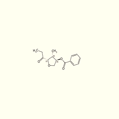 CCC(=O)[C@H]1OC[C@H](OC(=O)c2ccccc2)[C@H]1C